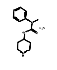 CN(C(=O)NC1CCNCC1)c1ccccc1.O